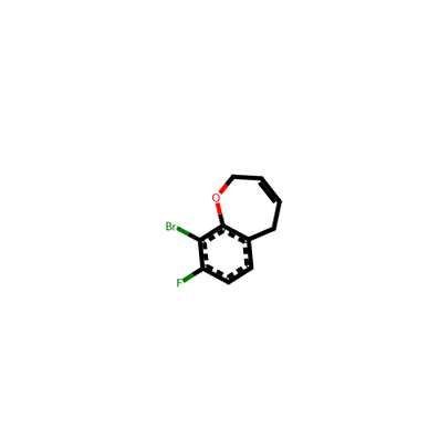 Fc1ccc2c(c1Br)OCC=CC2